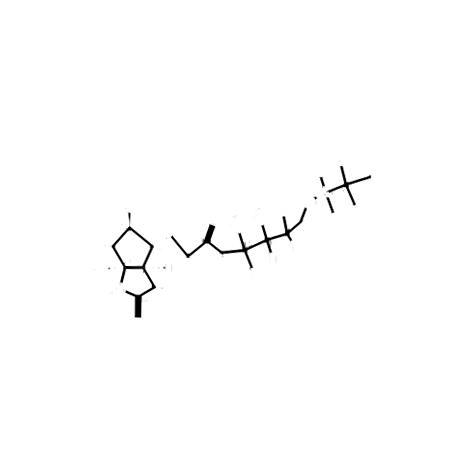 [2H]C([2H])(CO[Si](C)(C)C(C)(C)C)C([2H])([2H])C([2H])([2H])CC(=O)CC[C@@H]1[C@H]2CC(=O)O[C@H]2C[C@H]1C